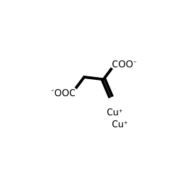 C=C(CC(=O)[O-])C(=O)[O-].[Cu+].[Cu+]